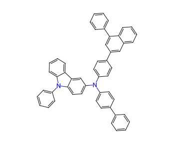 c1ccc(-c2ccc(N(c3ccc(-c4cc(-c5ccccc5)c5ccccc5c4)cc3)c3ccc4c(c3)c3ccccc3n4-c3ccccc3)cc2)cc1